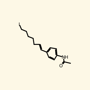 CC(=O)Nc1ccc(/C=C/CCCCCI)cc1